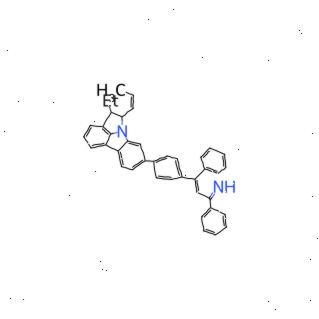 C/C=C\C1C(CC)c2cccc3c4ccc(-c5ccc(/C(=C/C(=N)c6ccccc6)c6ccccc6)cc5)cc4n1c23